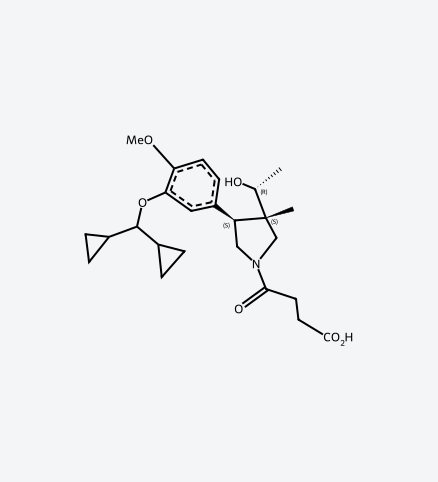 COc1ccc([C@@H]2CN(C(=O)CCC(=O)O)C[C@@]2(C)[C@@H](C)O)cc1OC(C1CC1)C1CC1